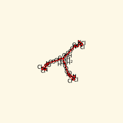 CN1Cc2c(Cl)cc(Cl)cc2C(c2ccc3c(c2)C(=O)N(CCOCCOCCOCCNC(=O)CCC(N)(CCC(=O)NCCOCCOCCOCCN2Cc4ccc(C5CN(C)Cc6c(Cl)cc(Cl)cc65)cc4C2=O)CCC(=O)NCCOCCOCCOCCN2Cc4ccc(C5CN(C)Cc6c(Cl)cc(Cl)cc65)cc4C2=O)C3)C1